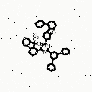 CC1(C)c2ccccc2-c2cccc(-c3nc(-c4cc(-c5ccccc5)cc(-c5ccccc5)c4)nc(-c4ccc5c(c4)oc4cccc(-c6ccccc6)c45)n3)c21